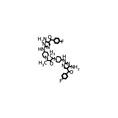 CC(C(=O)C(C)N1CCC(Nc2ncc(C(=O)c3ccc(F)cc3)c(N)n2)CC1)N1CCC(Nc2ncc(C(=O)c3ccc(F)cc3)c(N)n2)CC1